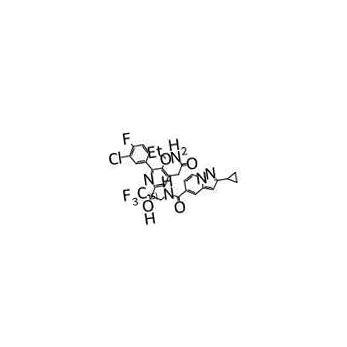 CCOc1c(CC(N)=O)cc([C@@](O)(CNC(=O)c2ccn3nc(C4CC4)cc3c2)C(F)(F)F)nc1-c1ccc(F)c(Cl)c1